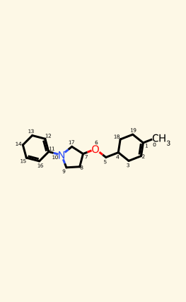 CC1=CCC(COC2CCN(C3=CCCC=C3)C2)CC1